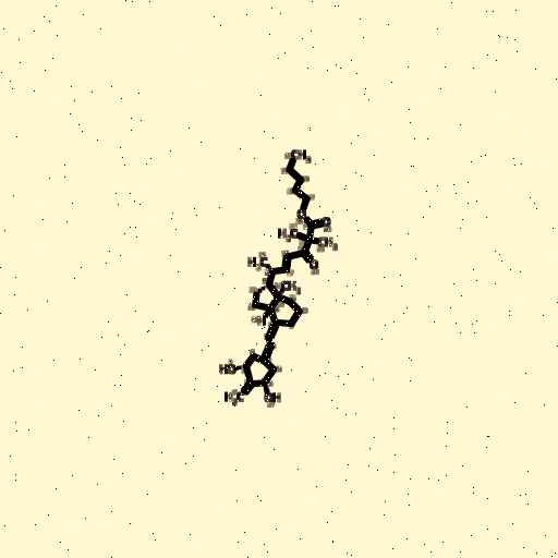 C=C1[C@H](O)CC(=C/C=C2\CCC[C@]3(C)[C@@H]([C@H](C)/C=C/C(=O)C(C)(C)C(=O)OCCCCC)CC[C@@H]23)C[C@H]1O